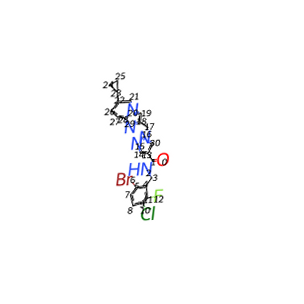 O=C(NCc1c(Br)ccc(Cl)c1F)c1cnn(Cc2cn3cc(C4CC4)ccc3n2)c1